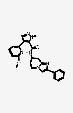 COc1cccc(-c2cnn(C)c2C(=O)NC2CCn3cc(-c4ccccc4)nc3C2)n1